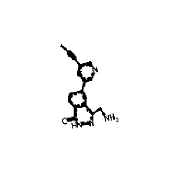 CC#Cc1cncc(-c2ccc3c(=O)[nH]nc(CN)c3c2)c1